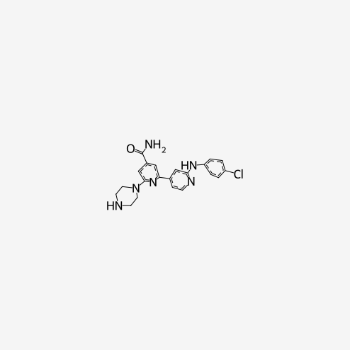 NC(=O)c1cc(-c2ccnc(Nc3ccc(Cl)cc3)c2)nc(N2CCNCC2)c1